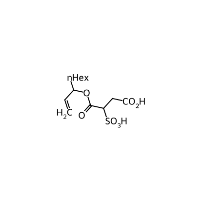 C=CC(CCCCCC)OC(=O)C(CC(=O)O)S(=O)(=O)O